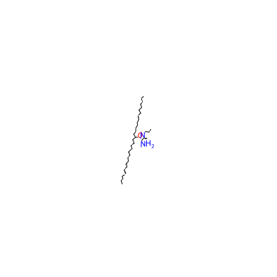 CCCCCCCCCCCCCCCCC(CCCCCCCCCCCCCC)CON(CCC)C(C)CN